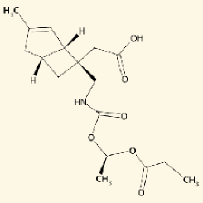 CCC(=O)O[C@@H](C)OC(=O)NC[C@@]1(CC(=O)O)C[C@@H]2CC(C)=C[C@@H]21